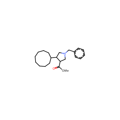 COC(=O)C1CN(Cc2ccccc2)CC1C1CCCCCCCC1